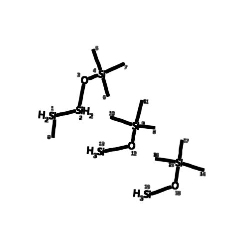 C[SiH2][SiH2]O[Si](C)(C)C.C[Si](C)(C)O[SiH3].C[Si](C)(C)O[SiH3]